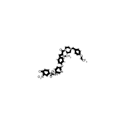 Cn1c(C(=O)N2CCN(Cc3ccc(OCC(F)(F)F)cc3)CC2)cc2ccc(Oc3ccc(NS(=O)(=O)c4ccc(Cl)c([N+](=O)[O-])c4)cn3)cc21